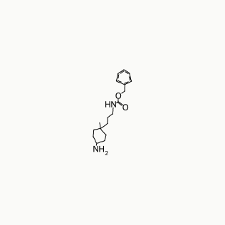 CC1(CCCNC(=O)OCc2ccccc2)CCC(N)CC1